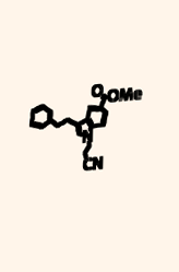 COC(=O)c1ccc2c(c1)c(CCc1ccccc1)cn2CCC#N